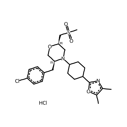 Cc1nc(C2CCC(N3C[C@H](CS(C)(=O)=O)OC[C@@H]3Cc3ccc(Cl)cc3)CC2)oc1C.Cl